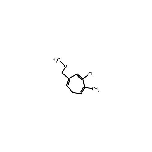 COCC1=CCC=C(C)C(Cl)=C1